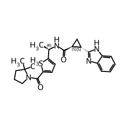 C[C@@H](NC(=O)[C@H]1C[C@@H]1c1nc2ccccc2[nH]1)c1ccc(C(=O)N2CCCC2(C)C)s1